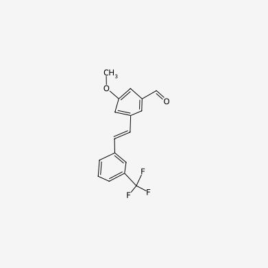 COc1cc(C=O)cc(/C=C/c2cccc(C(F)(F)F)c2)c1